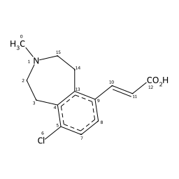 CN1CCc2c(Cl)ccc(C=CC(=O)O)c2CC1